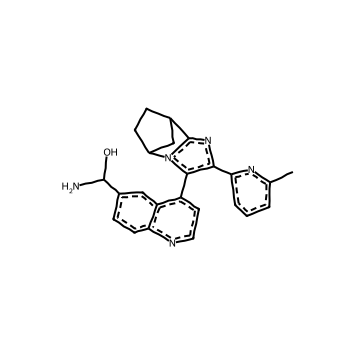 Cc1cccc(-c2nc3n(c2-c2ccnc4ccc(C(N)O)cc24)C2CCC3C2)n1